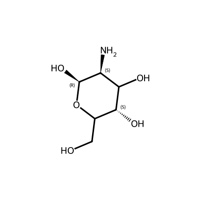 N[C@H]1C(O)[C@H](O)C(CO)O[C@H]1O